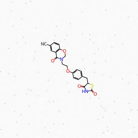 N#Cc1ccc2c(c1)C(=O)N(CCOc1ccc(CC3SC(=O)NC3=O)cc1)CO2